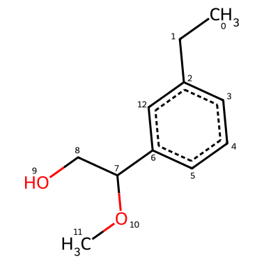 CCc1cccc(C(CO)OC)c1